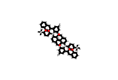 C[Si](C)(C)c1ccc(N(c2c(F)cc(F)cc2-c2ccc3ccccc3c2)c2ccc3ccc4c(N(c5ccc([Si](C)(C)C)cc5)c5c(F)cc(F)cc5-c5ccc6ccccc6c5)ccc5ccc2c3c54)cc1